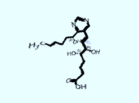 CCCCC[C@@H](O)c1ncncc1/C=C/[C@@H](O)[C@@H](O)CCCC(=O)O